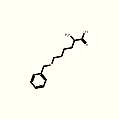 NC(CCCCOCc1ccccc1)C(=O)O